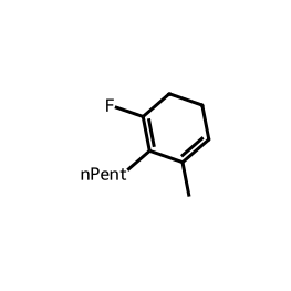 CCCCCC1=C(F)CCC=C1C